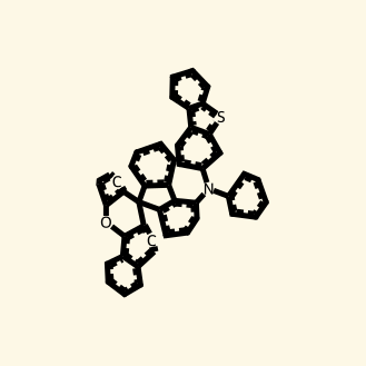 c1ccc(N(c2ccc3c(c2)sc2ccccc23)c2cccc3c2-c2ccccc2C32c3ccccc3Oc3c2ccc2ccccc32)cc1